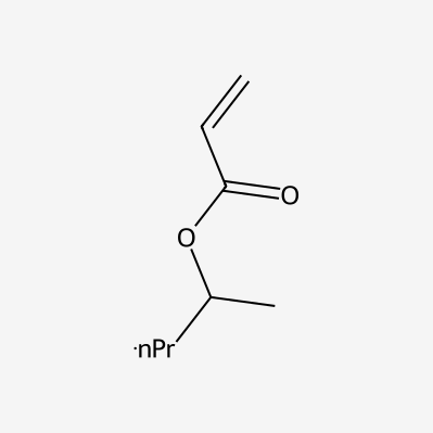 C=CC(=O)OC(C)[CH]CC